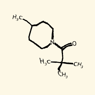 CC1CCN(C(=O)C(C)(C)C)CC1